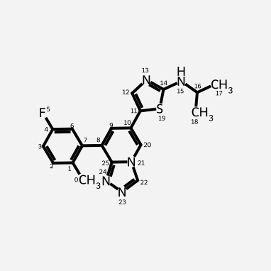 Cc1ccc(F)cc1-c1cc(-c2cnc(NC(C)C)s2)cn2cnnc12